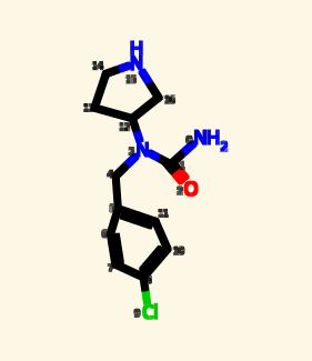 NC(=O)N(Cc1ccc(Cl)cc1)C1CCNC1